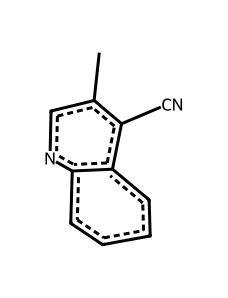 Cc1cnc2ccccc2c1C#N